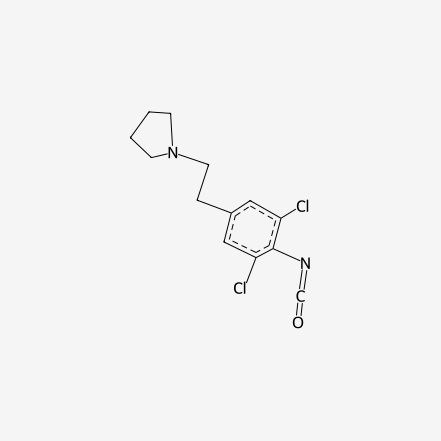 O=C=Nc1c(Cl)cc(CCN2CCCC2)cc1Cl